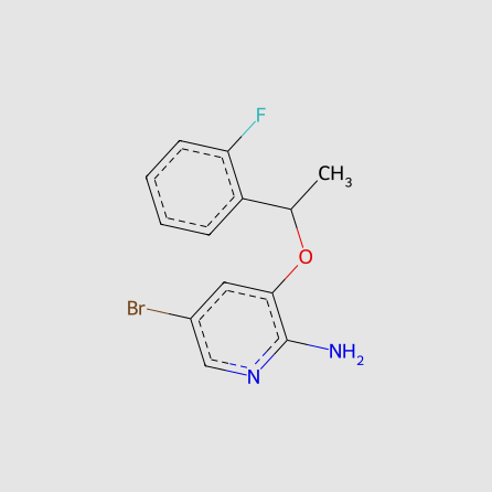 CC(Oc1cc(Br)cnc1N)c1ccccc1F